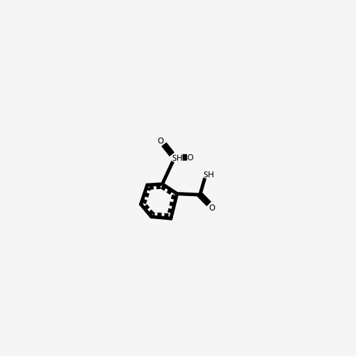 O=C(S)c1ccccc1[SH](=O)=O